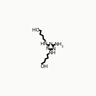 Nc1nc(NCCCCCO)nc(NCCCCCO)n1